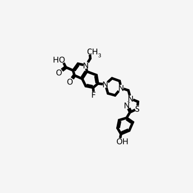 CCn1cc(C(=O)O)c(=O)c2cc(F)c(N3CCN(CN4CSC(c5ccc(O)cc5)=N4)CC3)cc21